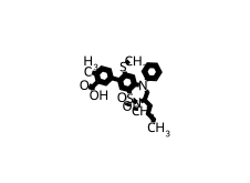 CCCCC1CN(c2ccccc2)c2cc(SC)c(-c3ccc(C)c(C(=O)O)c3)cc2S(=O)(=O)N1C